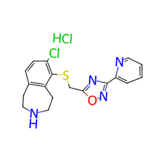 Cl.Clc1ccc2c(c1SCc1nc(-c3ccccn3)no1)CCNCC2